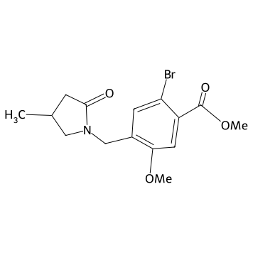 COC(=O)c1cc(OC)c(CN2CC(C)CC2=O)cc1Br